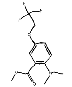 COC(=O)c1cc(OCC(F)(F)F)ccc1N(C)C